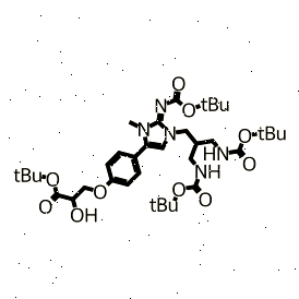 Cn1c(-c2ccc(OCC(O)C(=O)OC(C)(C)C)cc2)cn(CC(CNC(=O)OC(C)(C)C)CNC(=O)OC(C)(C)C)c1=NC(=O)OC(C)(C)C